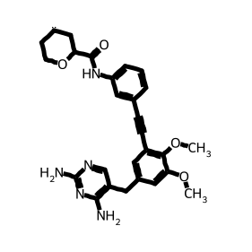 COc1cc(Cc2cnc(N)nc2N)cc(C#Cc2cccc(NC(=O)C3C[C]CCO3)c2)c1OC